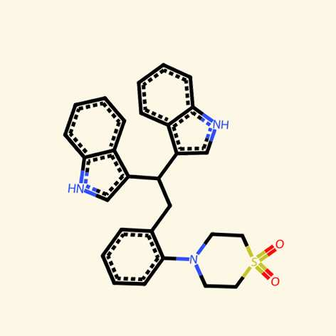 O=S1(=O)CCN(c2ccccc2CC(c2c[nH]c3ccccc23)c2c[nH]c3ccccc23)CC1